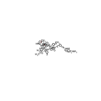 CCCC(=O)N(C)[C@@H](Cc1c[nH]c2ccc(F)cc12)C(=O)N[C@@H](CCc1c[nH]c2ccc(C)cc12)C(=O)N[C@@H](C)C(=O)N(CC(=O)N[C@@H](Cc1ccc(OC)cc1)C(=O)N1CCCC1C(=O)NCCSCc1cccc(CSCCC(=O)N[C@@H](CCCCN)C(N)=O)c1)c1ccccc1C(=N)C1CCCCC1